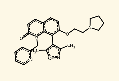 Cc1noc(C)c1-c1c(OCCN2CCCC2)ccc2ccc(=O)n(Cc3ccccn3)c12